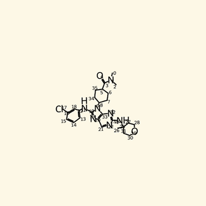 CN(C)C(=O)C1CCC(n2c(Nc3cccc(Cl)c3)nc3cnc(NC4(C)CCOCC4)nc32)CC1